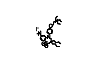 CCCCC1(CCCC)CN(c2ccc(OCC[N+](CC)(CC)CC)cc2)c2cc(N(C)C)ccc2S(=O)(=O)C1.[I-]